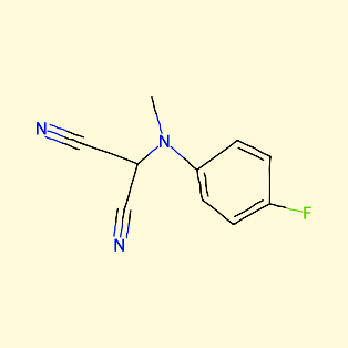 CN(c1ccc(F)cc1)C(C#N)C#N